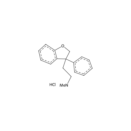 CNCCC1(c2ccccc2)COc2ccccc21.Cl